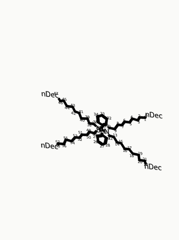 CCCCCCCCCCCCCCCCCCCCN(CCCCCCCCCCCCCCCCCCCC)[Si](c1ccccc1)(c1ccccc1)N(CCCCCCCCCCCCCCCCCCCC)CCCCCCCCCCCCCCCCCCCC